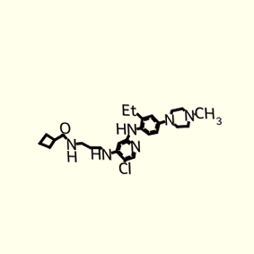 CCc1cc(N2CCN(C)CC2)ccc1Nc1cc(NCCCNC(=O)C2CCC2)c(Cl)cn1